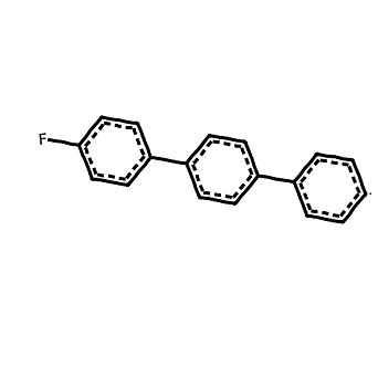 Fc1ccc(-c2ccc(-c3cc[c]cc3)cc2)cc1